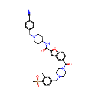 Cc1cc(CN2CCN(C(=O)c3ccc4oc(C(=O)NC5CCN(Cc6ccc(C#N)cc6)CC5)cc4c3)CC2)ccc1S(C)(=O)=O